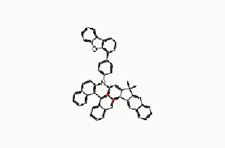 CC1(C)c2cc(N(c3ccc(-c4cccc5c4oc4ccccc45)cc3)c3ccc4ccccc4c3-c3cccc4ccccc34)ccc2-c2cc3ccccc3cc21